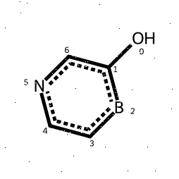 Oc1bccnc1